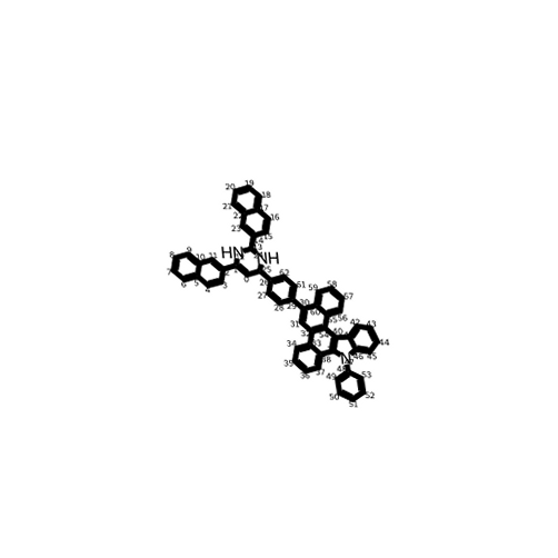 C1=C(c2ccc3ccccc3c2)NC(c2ccc3ccccc3c2)NC1c1ccc(-c2cc3c4ccccc4c4c(c5ccccc5n4-c4ccccc4)c3c3ccccc23)cc1